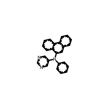 c1ccc(N(c2cncnc2)c2cc3ccccc3c3ccccc23)cc1